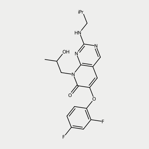 CC(C)CNc1ncc2cc(Oc3ccc(F)cc3F)c(=O)n(CC(C)O)c2n1